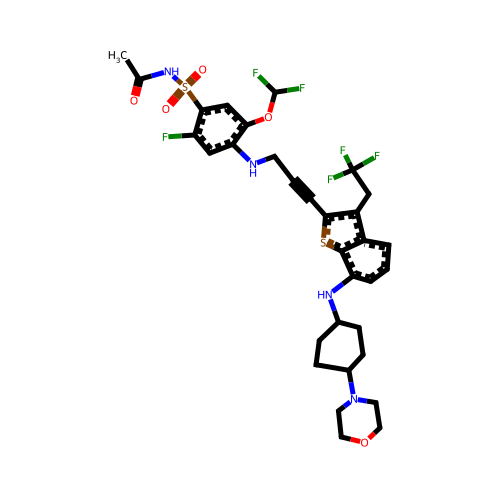 CC(=O)NS(=O)(=O)c1cc(OC(F)F)c(NCC#Cc2sc3c(NC4CCC(N5CCOCC5)CC4)cccc3c2CC(F)(F)F)cc1F